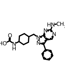 CNc1ncc2c(-c3ccccc3)nn(CC3CCC(NC(=O)O)CC3)c2n1